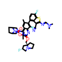 Cc1cc2c(N3CC4CCC(C3)N4C(=O)OC(C)(C)C)nc(OC[C@@]34CCCN3C[C@H](F)C4)nc2c(F)c1-c1ccc(F)c2sc(/N=C/N(C)C)c(C#N)c12